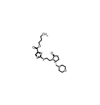 CCCCOC(=O)c1csc(SCCN2C(=O)CC[C@@H]2CN2CCOCC2)n1